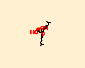 CC(C)CCCCCOC(CCCCCC(C)C)(CC(=O)O)C(O)=S